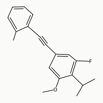 COc1cc(C#Cc2ccccc2C)cc(F)c1C(C)C